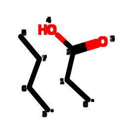 [CH2]CC(=O)O.[CH2]CCC